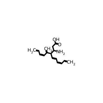 C=C/C=C\C=C\C(C(=C)/C=C\C=C)C(N)CC(=O)O